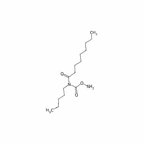 CCCCCCCCC(=O)N(CCCCC)C(=O)ON